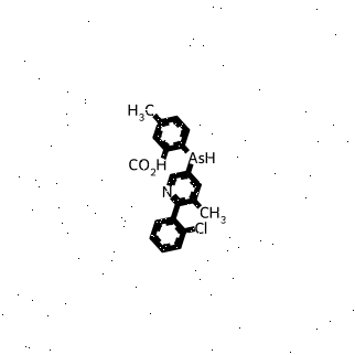 Cc1ccc([AsH]c2cnc(-c3ccccc3Cl)c(C)c2)c(C(=O)O)c1